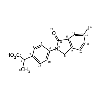 CC(C(=O)O)c1ccc(N2Cc3ccc(I)cc3C2=O)cc1